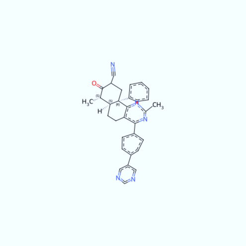 Cc1nc(-c2ccc(-c3cncnc3)cc2)c2c(n1)[C@]1(c3ccccc3)CC(C#N)C(=O)[C@@H](C)[C@@H]1CC2